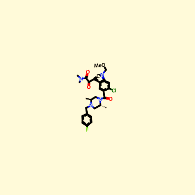 COCn1cc(C(=O)C(=O)N(C)C)c2cc(C(=O)N3C[C@H](C)N(Cc4ccc(F)cc4)C[C@H]3C)c(Cl)cc21